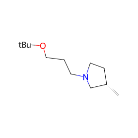 C[C@H]1CCN(CCCOC(C)(C)C)C1